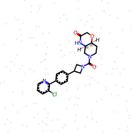 O=C1CO[C@H]2CCN(C(=O)N3CC(c4ccc(-c5ncccc5Cl)cc4)C3)C[C@H]2N1